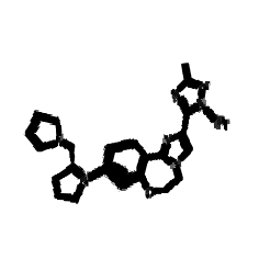 Cc1nc(-c2cn3c(n2)-c2ccc(N4CCC[C@H]4CN4CCCC4)cc2OCC3)n(C(C)C)n1